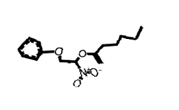 C=C(CCCCC)OC(COc1ccccc1)[N+](=O)[O-]